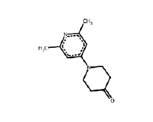 Cc1cc(N2CCC(=O)CC2)cc(C)n1